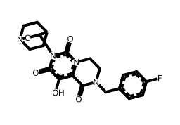 O=C1c2c(O)c(=O)n(C3CN4CCC3CC4)c(=O)n2CCN1Cc1ccc(F)cc1